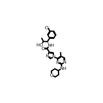 Cc1cnc(NC2CCOCC2)nc1-n1cnc(C(=O)N[C@@H](c2cccc(Cl)c2)C(C)O)c1